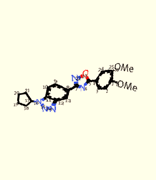 COc1ccc(-c2nc(-c3ccc4c(c3)nnn4C3CCCC3)no2)cc1OC